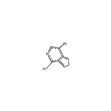 CC(C)c1cnc(C(C)C)c2c1=CCC=2